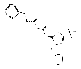 CC(C)(C)c1nn(C[C@H]2CCCO2)/c(=N/C(=O)NC(=O)[C@@H](N)Cc2ccccc2)s1